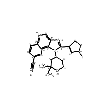 CC1(C)CC(n2c(C3CCC(F)C3)nc3cnc4ccc(C#N)cc4c32)CCO1